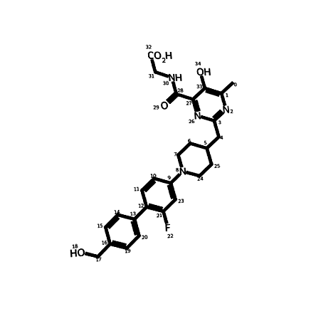 Cc1nc(CC2CCN(c3ccc(-c4ccc(CO)cc4)c(F)c3)CC2)nc(C(=O)NCC(=O)O)c1O